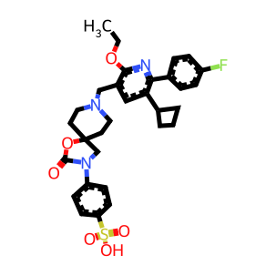 CCOc1nc(-c2ccc(F)cc2)c(C2CCC2)cc1CN1CCC2(CC1)CN(c1ccc(S(=O)(=O)O)cc1)C(=O)O2